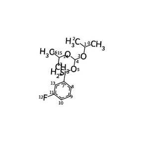 CC(C)OC(O[SiH2]c1cccc(F)c1)OC(C)C